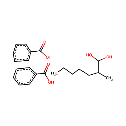 CCCCCC(C)C(O)O.O=C(O)c1ccccc1.O=C(O)c1ccccc1